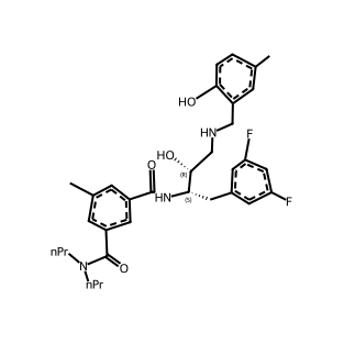 CCCN(CCC)C(=O)c1cc(C)cc(C(=O)N[C@@H](Cc2cc(F)cc(F)c2)[C@H](O)CNCc2cc(C)ccc2O)c1